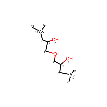 C[As](C)CC(O)COCC(O)C[As](C)C